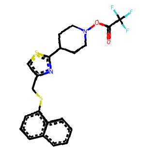 O=C(ON1CCC(c2nc(CSc3cccc4ccccc34)cs2)CC1)C(F)(F)F